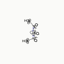 CC1(C)C(/C=C/C2=C(S(=O)(=O)c3ccccc3)C(=C/C=C3/N(CCCCS(=O)(=O)O)c4ccccc4C3(C)C)/CCC2)=[N+](CCCCS(=O)(=O)O)c2ccccc21